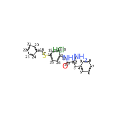 Cl.N[C@@H](Cc1ccccc1)C(=O)Nc1ccc(SCc2ccccc2)cc1